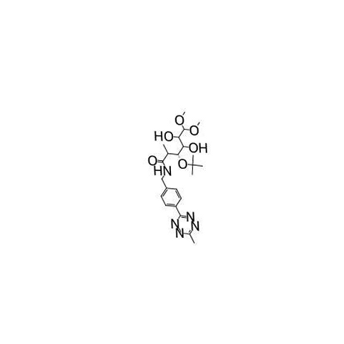 COC(OC)C(O)C(O)[C@H](OC(C)(C)C)C(C)C(=O)NCc1ccc(-c2nnc(C)nn2)cc1